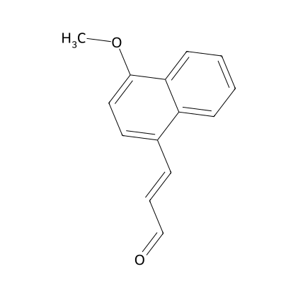 COc1ccc(C=CC=O)c2ccccc12